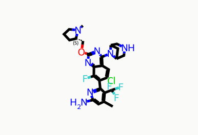 Cc1cc(N)nc(-c2c(Cl)cc3c(N4C5CNCC4C5)nc(OC[C@@H]4CCCN4C)nc3c2F)c1C(F)(F)F